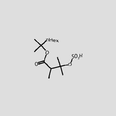 CCCCCCC(C)(C)OC(=O)C(C)C(C)(C)OS(=O)(=O)O